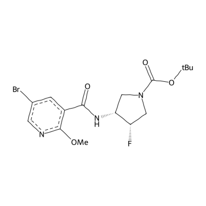 COc1ncc(Br)cc1C(=O)N[C@@H]1CN(C(=O)OC(C)(C)C)C[C@@H]1F